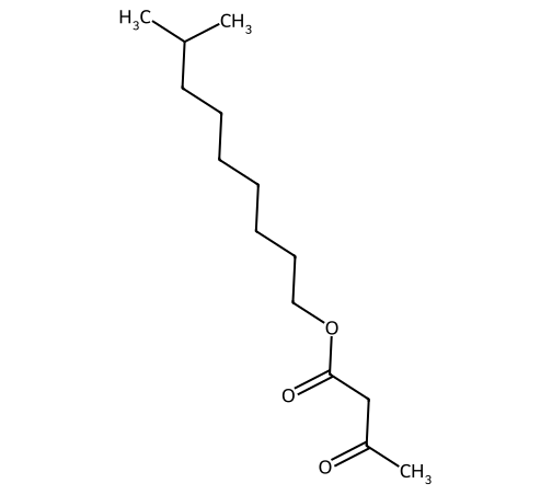 CC(=O)CC(=O)OCCCCCCCC(C)C